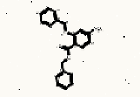 O=C(OCc1ccccc1)c1ccc([N+](=O)[O-])cc1OCc1ccccc1